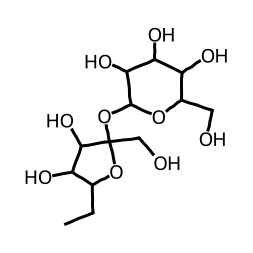 CCC1OC(CO)(OC2OC(CO)C(O)C(O)C2O)C(O)C1O